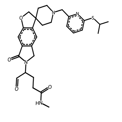 CNC(=O)CCC(C=O)N1Cc2cc3c(cc2C1=O)OCC31CCN(Cc2cccc(SC(C)C)n2)CC1